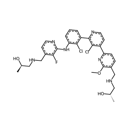 COc1nc(-c2ccnc(-c3cccc(Nc4nccc(CNC[C@@H](C)O)c4F)c3Cl)c2Cl)ccc1CNC[C@H](C)O